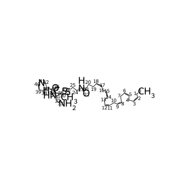 CC/C=C\C/C=C\C/C=C\C/C=C\C/C=C\C/C=C\CCC(=O)NCCSSC(C)(C)C(CN)NC(=O)c1cccnc1